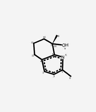 Cc1ccc2c(n1)[C@@](C)(O)CCC2